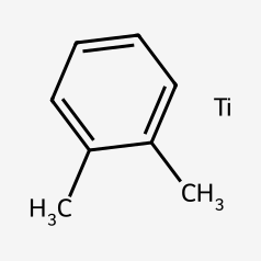 Cc1ccccc1C.[Ti]